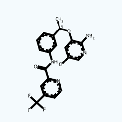 C[C@@H](Oc1cc(Cl)cnc1N)c1cccc(NC(=O)c2cc(C(F)(F)F)ccn2)c1